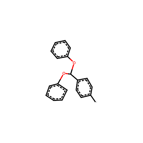 [CH2]c1ccc(C(Oc2ccccc2)Oc2ccccc2)cc1